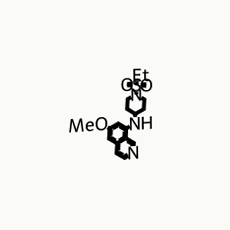 CCS(=O)(=O)N1CCC(Nc2cc(OC)cc3ccncc23)CC1